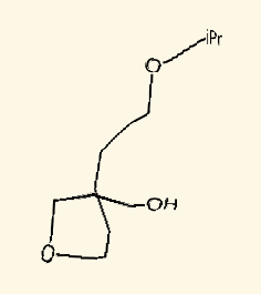 CC(C)OCCC1(O)COC1